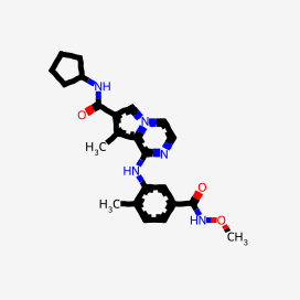 CONC(=O)c1ccc(C)c(Nc2nccn3cc(C(=O)NC4CCCC4)c(C)c23)c1